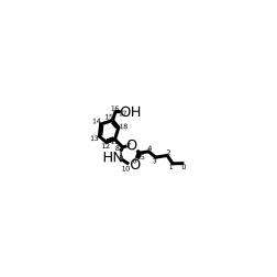 CCCCCC(=O)OC(NC)c1cccc(CO)c1